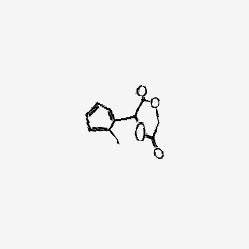 Cc1ccccc1C1OC(=O)COC1=O